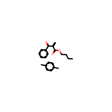 C=C(C(=O)OCCCC)C(=O)c1ccccc1.Cc1ccc(C)cc1